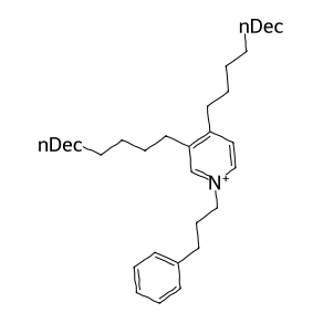 CCCCCCCCCCCCCCc1cc[n+](CCCc2ccccc2)cc1CCCCCCCCCCCCCC